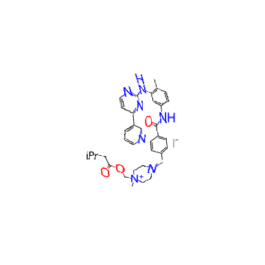 Cc1ccc(NC(=O)c2ccc(CN3CC[N+](C)(COC(=O)CC(C)C)CC3)cc2)cc1Nc1nccc(-c2cccnc2)n1.[I-]